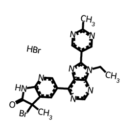 Br.CCn1c(-c2cnc(C)nc2)nc2c(-c3cnc4c(c3)C(C)(Br)C(=O)N4)ncnc21